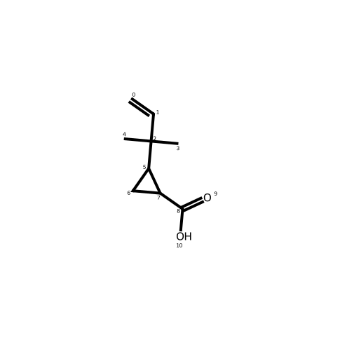 C=CC(C)(C)C1CC1C(=O)O